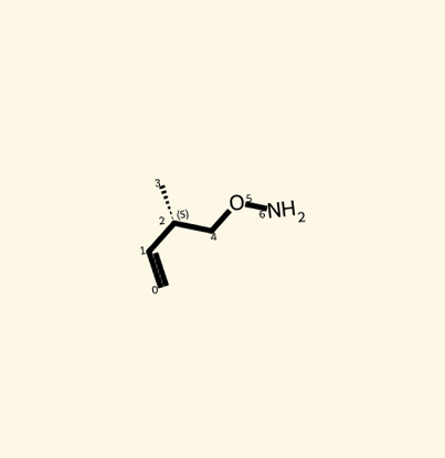 C=C[C@H](C)CON